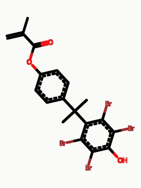 C=C(C)C(=O)Oc1ccc(C(C)(C)c2c(Br)c(Br)c(O)c(Br)c2Br)cc1